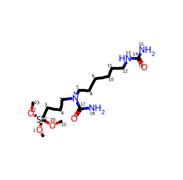 CO[Si](CCCN(CCCCCCNC(N)=O)C(N)=O)(OC)OC